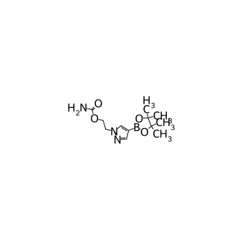 CC1(C)OB(c2cnn(CCOC(N)=O)c2)OC1(C)C